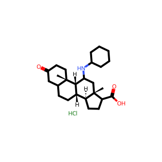 C[C@]12CCC(=O)CC1CC[C@@H]1[C@H]2C(NC2CCCCC2)C[C@]2(C)C(C(=O)O)CC[C@@H]12.Cl